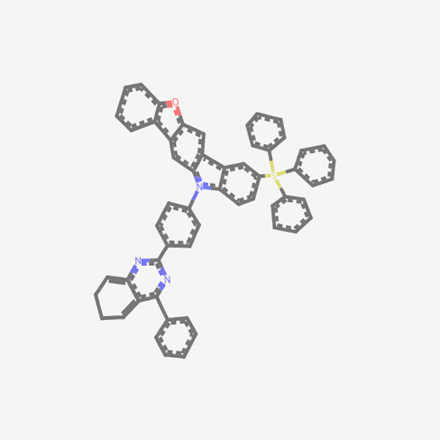 C1=c2nc(-c3ccc(-n4c5ccc(S(c6ccccc6)(c6ccccc6)c6ccccc6)cc5c5cc6oc7ccccc7c6cc54)cc3)nc(-c3ccccc3)c2=CCC1